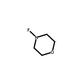 FN1C[CH]OCC1